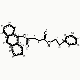 O=C(CCC(=O)Oc1c2ccccc2cc2ccccc12)OCCc1ccccc1